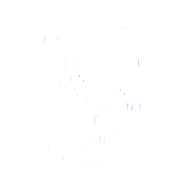 Cc1ccc(F)c(C(C)C(NS(=O)(=O)c2ccc(F)c(C(C)(C)O)c2F)c2n[nH]c(=O)o2)c1C